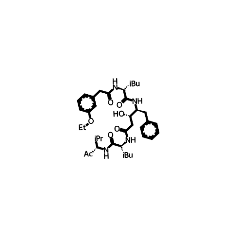 CCOc1cccc(CC(=O)N[C@H](C(=O)N[C@@H](Cc2ccccc2)[C@@H](O)CC(=O)N[C@H](C(=O)N[C@H](C(C)=O)C(C)C)[C@@H](C)CC)[C@@H](C)CC)c1